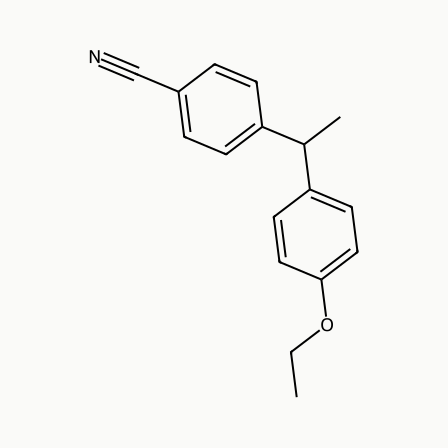 CCOc1ccc(C(C)c2ccc(C#N)cc2)cc1